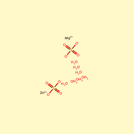 O.O.O.O.O.O.O.O=S(=O)([O-])[O-].O=S(=O)([O-])[O-].[Mg+2].[Zn+2]